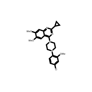 COc1cc2nc(C3CC3)nc(N3CCN(c4ccc(Cl)cc4OC)CC3)c2cc1OC